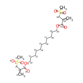 C=C(CS(C)(=O)=O)C(=O)OCCCCCCCCCCCOC(=O)C(=C)CS(C)(=O)=O